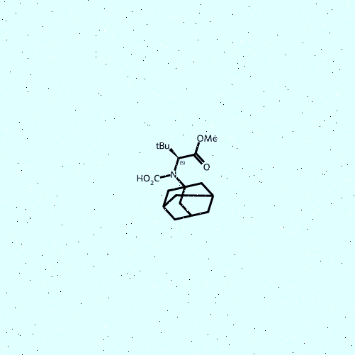 COC(=O)[C@@H](N(C(=O)O)C12CC3CC(CC(C3)C1)C2)C(C)(C)C